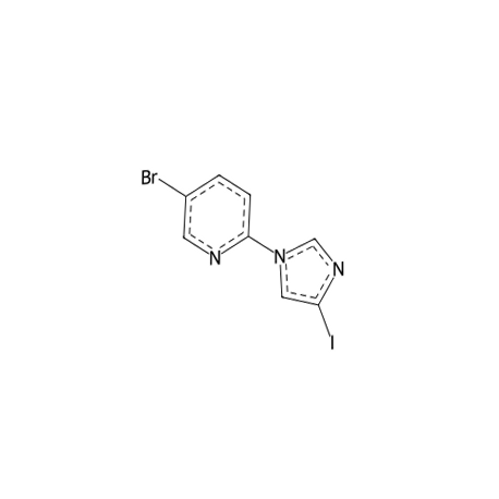 Brc1ccc(-n2cnc(I)c2)nc1